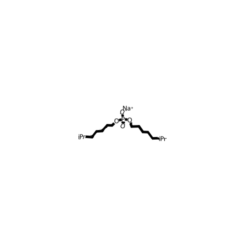 CC(C)CCCCCOP(=O)([O-])OCCCCCC(C)C.[Na+]